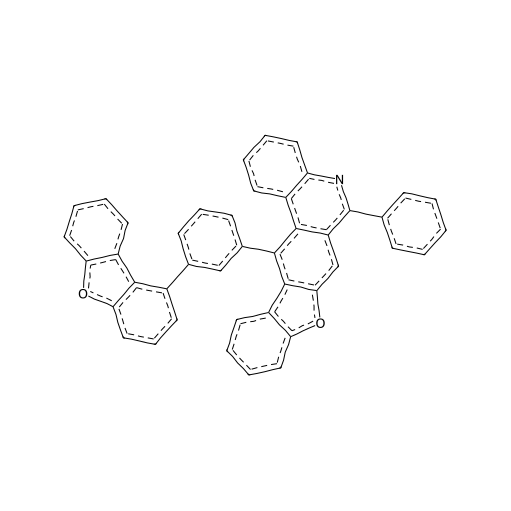 c1ccc(-c2nc3ccccc3c3c(-c4cccc(-c5cccc6oc7ccccc7c56)c4)c4c(cc23)oc2ccccc24)cc1